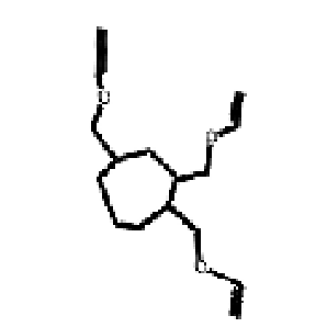 C=COCC1CCCC(COC=C)C(COC=C)C1